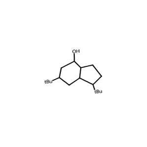 CC(C)(C)C1CC(O)C2CCC(C(C)(C)C)C2C1